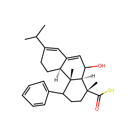 CC(C)C1=CC2=CC(O)[C@@H]3[C@](C)(C(c4ccccc4)CC[C@@]3(C)C(=O)S)[C@H]2CC1